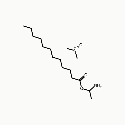 CCCCCCCCCCCC(=O)OC(C)N.C[NH+](C)[O-]